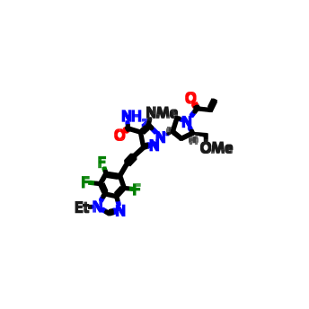 C=CC(=O)N1C[C@@H](n2nc(C#Cc3c(F)c(F)c4c(ncn4CC)c3F)c(C(N)=O)c2NC)C[C@@H]1COC